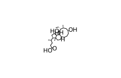 CC[C@H]1[C@@H](O)[C@@H]2[C@@H](CCC[C@@H](O)C[C@@H]1C)CC[C@]1(C)[C@@H]([C@H](C)CCC(=O)O)CC[C@@H]21